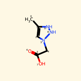 CC1=CN(CC(=O)O)NN1